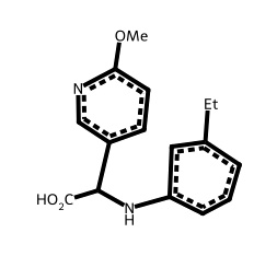 CCc1cccc(NC(C(=O)O)c2ccc(OC)nc2)c1